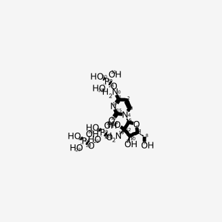 Nc1ccn([C@@H]2O[C@H](CO)[C@@H](O)[C@@]2(N)O)c(=O)n1.O=P(O)(O)O.O=P(O)(O)O.O=P(O)(O)O